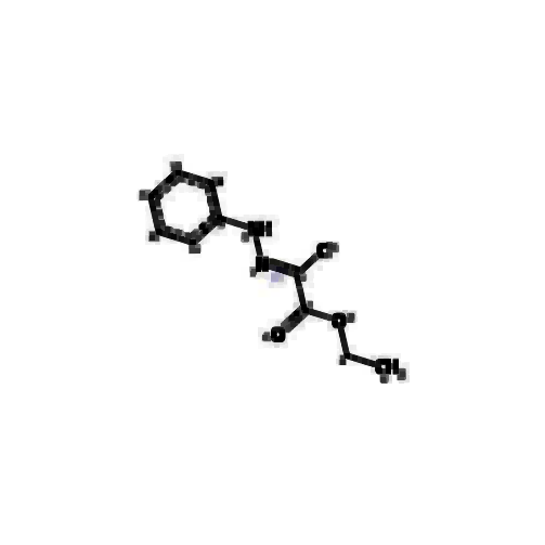 CCOC(=O)/C(Cl)=N/Nc1ccccc1